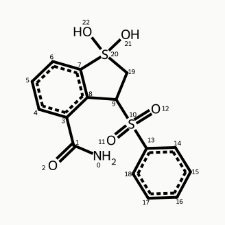 NC(=O)c1cccc2c1C(S(=O)(=O)c1ccccc1)CS2(O)O